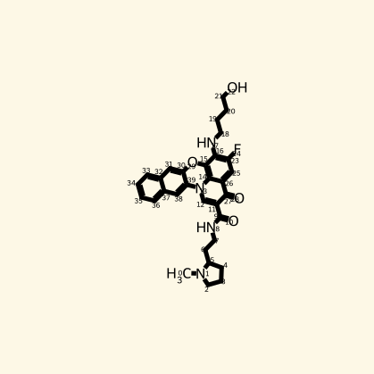 CN1CCCC1CCNC(=O)c1cn2c3c(c(NCCCCO)c(F)cc3c1=O)Oc1cc3ccccc3cc1-2